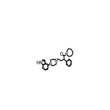 O=C(C(CCN1CCN(c2cccc3[nH]ccc23)CC1)c1ccccc1)N1CCCCCC1